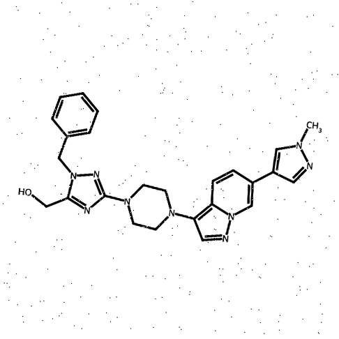 Cn1cc(-c2ccc3c(N4CCN(c5nc(CO)n(Cc6ccccc6)n5)CC4)cnn3c2)cn1